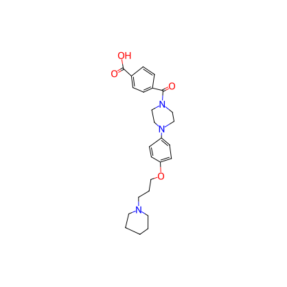 O=C(O)c1ccc(C(=O)N2CCN(c3ccc(OCCCN4CCCCC4)cc3)CC2)cc1